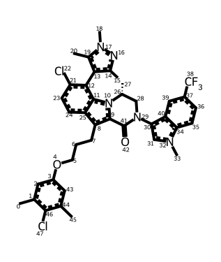 Cc1cc(OCCCc2c3n(c4c(-c5c(C)nn(C)c5C)c(Cl)ccc24)[C@H](C)CN(c2cn(C)c4ccc(C(F)(F)F)cc24)C3=O)cc(C)c1Cl